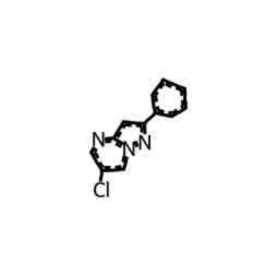 Clc1cnc2cc(-c3ccccc3)nn2c1